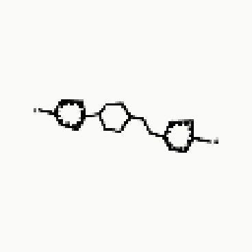 CCc1ccc(C2CCC(CCc3ccc(C#N)cc3)CC2)cc1